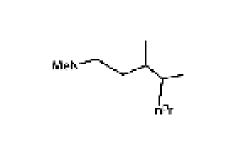 CCCC(C)C(C)CCNC